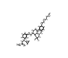 COCCOCOc1ccc(CCCC(C)(C)C)c(N2CCC(COc3cccc(C(CC(=O)O)C4CC4)c3)CC2)c1